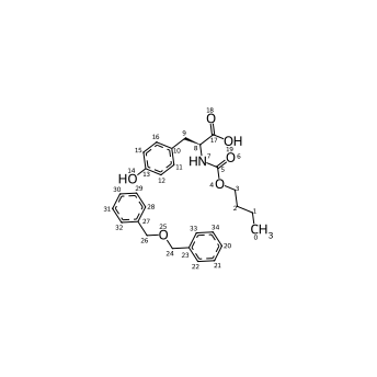 CCCCOC(=O)N[C@@H](Cc1ccc(O)cc1)C(=O)O.c1ccc(COCc2ccccc2)cc1